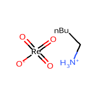 CCCCC[NH3+].[O]=[Re](=[O])(=[O])[O-]